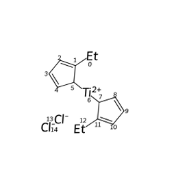 CCC1=CC=C[CH]1[Ti+2][CH]1C=CC=C1CC.[Cl-].[Cl-]